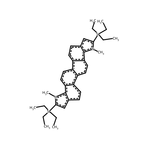 CC[Si](CC)(CC)c1cc2ccc3c4ccc5c(ccc6cc([Si](CC)(CC)CC)n(C)c65)c4ccc3c2n1C